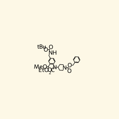 CCOC(=O)N(c1ccc(CNC(=O)OC(C)(C)C)cc1C(=O)OC)C1CCN(C(=O)OCc2ccccc2)CC1